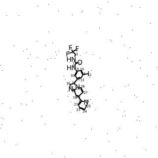 O=C(NCC(F)(F)F)Nc1cc(I)cc(C2CN=C3C=C(c4ccccn4)C=CN32)c1